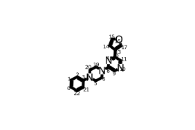 c1ccc(N2CCN(c3cncc(-c4ccoc4)n3)CC2)cc1